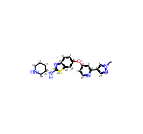 Cn1cc(-c2cc(Oc3ccc4nc(N[C@H]5CCCNC5)sc4c3)ccn2)cn1